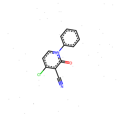 N#Cc1c(Cl)ccn(-c2ccccc2)c1=O